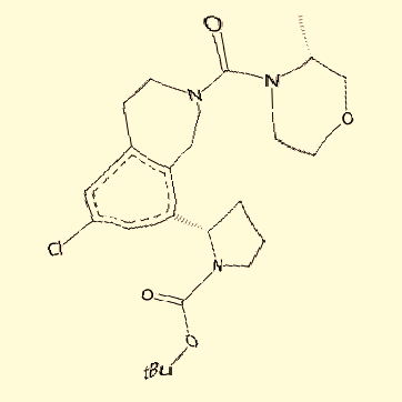 C[C@@H]1COCCN1C(=O)N1CCc2cc(Cl)cc([C@@H]3CCCN3C(=O)OC(C)(C)C)c2C1